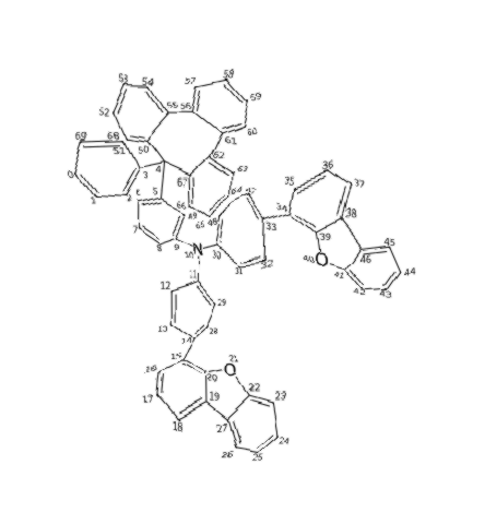 c1ccc(C2(c3cccc(N(c4ccc(-c5cccc6c5oc5ccccc56)cc4)c4ccc(-c5cccc6c5oc5ccccc56)cc4)c3)c3ccccc3-c3ccccc3-c3ccccc32)cc1